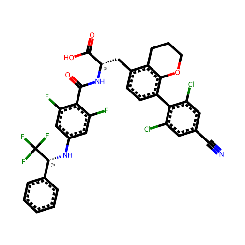 N#Cc1cc(Cl)c(-c2ccc(C[C@H](NC(=O)c3c(F)cc(N[C@H](c4ccccc4)C(F)(F)F)cc3F)C(=O)O)c3c2OCCC3)c(Cl)c1